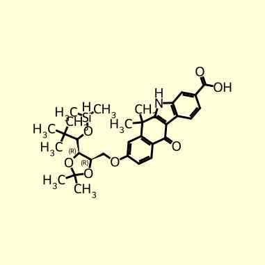 C[SiH](C)OC([C@@H]1OC(C)(C)O[C@@H]1COc1ccc2c(c1)C(C)(C)c1[nH]c3cc(C(=O)O)ccc3c1C2=O)C(C)(C)C